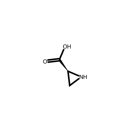 O=C(O)[C@@H]1CN1